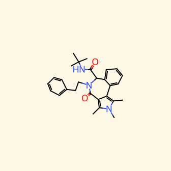 Cc1c2c(c(C)n1C)-c1ccccc1C(C(=O)NC(C)(C)C)N(CCc1ccccc1)C2=O